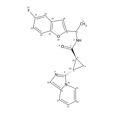 CC(NC(=O)[C@H]1C[C@@H]1c1ncc2ccccn12)c1cc2cc(F)ccc2o1